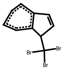 BrC(Br)(Br)C1C=Cc2c[c]ccc21